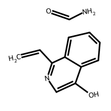 C=Cc1ncc(O)c2ccccc12.NC=O